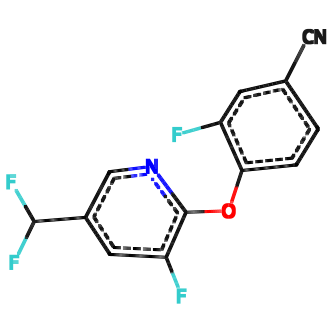 N#Cc1ccc(Oc2ncc(C(F)F)cc2F)c(F)c1